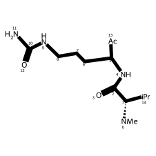 CN[C@H](C(=O)NC(CCCNC(N)=O)C(C)=O)C(C)C